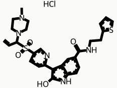 C=CC(N1CCN(C)CC1)S(=O)(=O)c1ccc(-c2c(O)[nH]c3ccc(C(=O)NCCc4cccs4)cc23)nc1.Cl